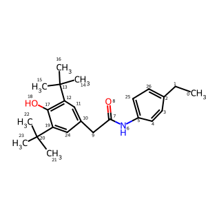 CCc1ccc(NC(=O)Cc2cc(C(C)(C)C)c(O)c(C(C)(C)C)c2)cc1